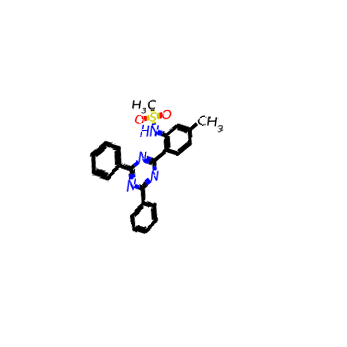 Cc1ccc(-c2nc(-c3ccccc3)nc(-c3ccccc3)n2)c(NS(C)(=O)=O)c1